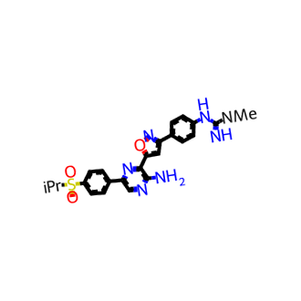 CNC(=N)Nc1ccc(-c2cc(-c3nc(-c4ccc(S(=O)(=O)C(C)C)cc4)cnc3N)on2)cc1